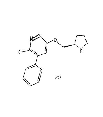 Cl.Clc1ncc(OC[C@H]2CCCN2)cc1-c1ccccc1